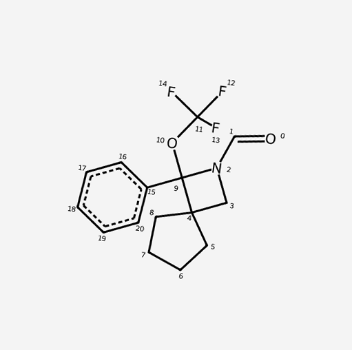 O=CN1CC2(CCCC2)C1(OC(F)(F)F)c1ccccc1